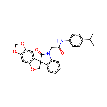 CC(C)c1ccc(NC(=O)CN2C(=O)C3(COc4cc5c(cc43)OCO5)c3ccccc32)cc1